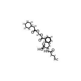 CC(=O)CCC(=O)N[C@H]1Cc2cccc(C(=O)OCOC(=O)CC3CCCCC3)c2OB1O